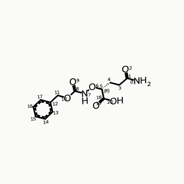 NC(=O)CC[C@@H](ONC(=O)OCc1ccccc1)C(=O)O